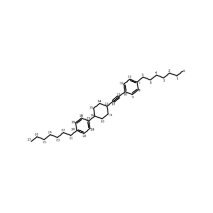 CCCCCCCc1ccc(C#CC2CCC(c3ccc(CCCCCCC)cc3)CC2)cc1